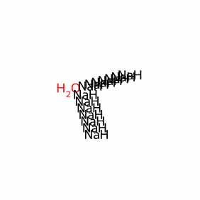 O.[NaH].[NaH].[NaH].[NaH].[NaH].[NaH].[NaH].[NaH].[NaH].[NaH].[NaH].[NaH].[NaH].[NaH]